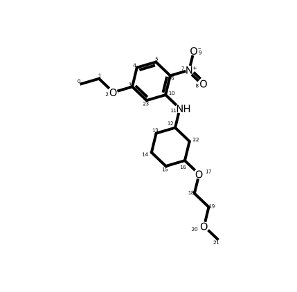 CCOc1ccc([N+](=O)[O-])c(NC2CCCC(OCCOC)C2)c1